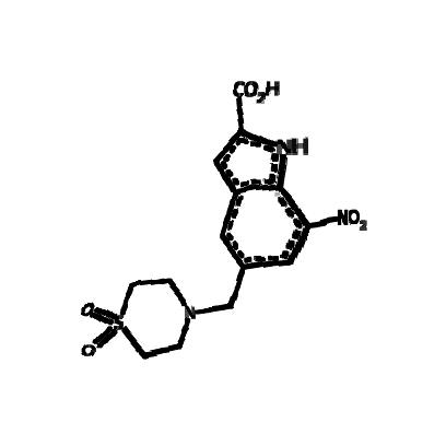 O=C(O)c1cc2cc(CN3CCS(=O)(=O)CC3)cc([N+](=O)[O-])c2[nH]1